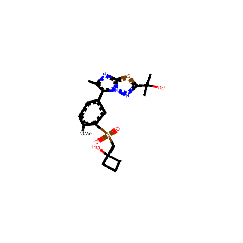 COc1ccc(-c2c(C)nc3sc(C(C)(C)O)nn23)cc1S(=O)(=O)CC1(O)CCC1